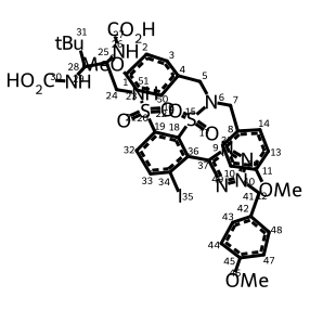 COc1ccc(CN(Cc2ccc(OC)cc2)S(=O)(=O)c2c(S(=O)(=O)NCC(NC(=O)O)C(NC(=O)O)C(C)(C)C)ccc(I)c2-c2nnn(Cc3ccc(OC)cc3)n2)cc1